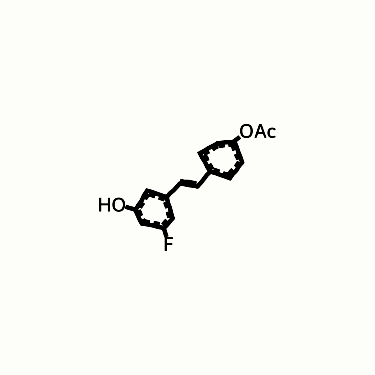 CC(=O)Oc1ccc(C=Cc2cc(O)cc(F)c2)cc1